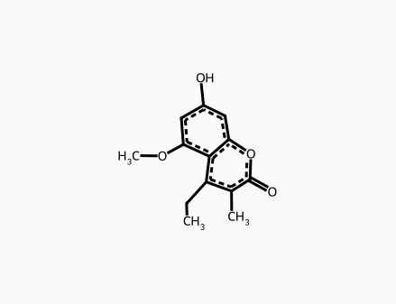 CCc1c(C)c(=O)oc2cc(O)cc(OC)c12